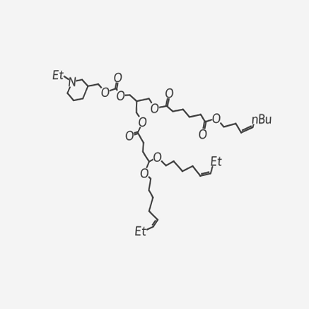 CC/C=C\CCCCOC(CCC(=O)OCC(COC(=O)CCCCC(=O)OCC/C=C\CCCC)COC(=O)OCC1CCCN(CC)C1)OCCCC/C=C\CC